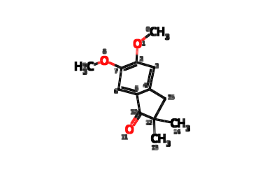 COc1cc2c(cc1OC)C(=O)C(C)(C)C2